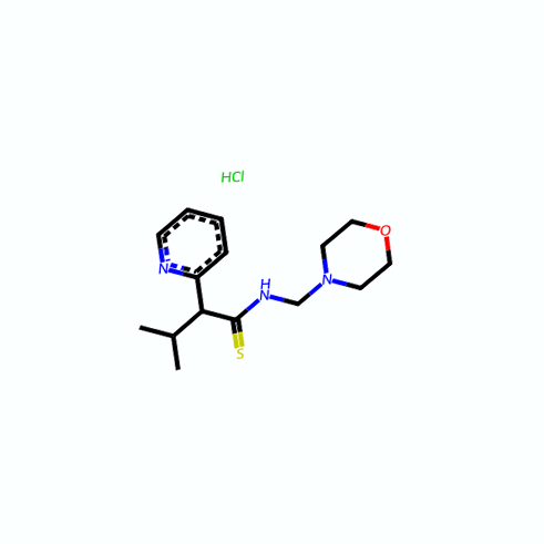 CC(C)C(C(=S)NCN1CCOCC1)c1ccccn1.Cl